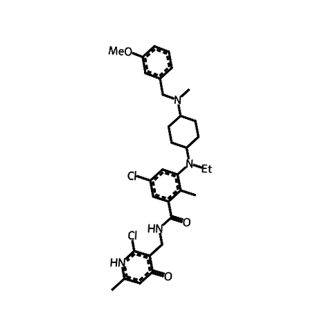 CCN(c1cc(Cl)cc(C(=O)NCc2c(Cl)[nH]c(C)cc2=O)c1C)C1CCC(N(C)Cc2cccc(OC)c2)CC1